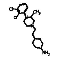 CC1CN(CCC2CCC(N)CC2)CCN1c1cccc(Cl)c1Cl